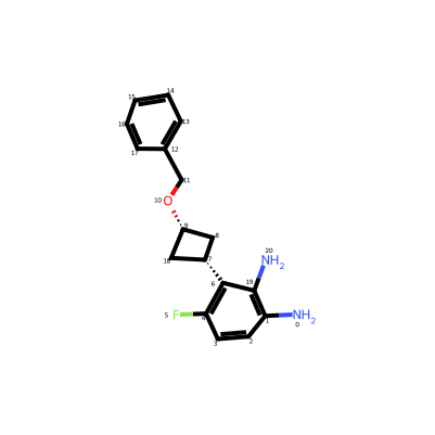 Nc1ccc(F)c([C@H]2C[C@@H](OCc3ccccc3)C2)c1N